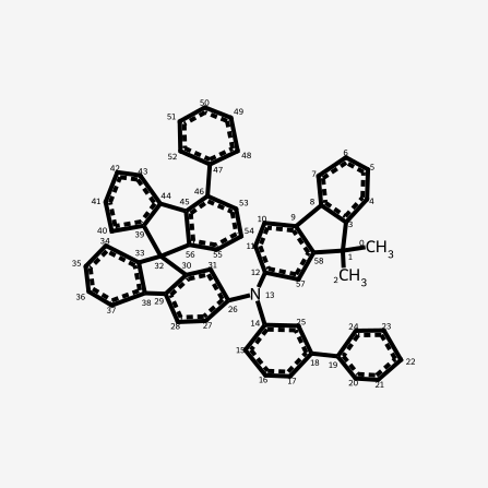 CC1(C)c2ccccc2-c2ccc(N(c3cccc(-c4ccccc4)c3)c3ccc4c(c3)C3(c5ccccc5-4)c4ccccc4-c4c(-c5ccccc5)cccc43)cc21